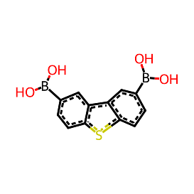 OB(O)c1ccc2sc3ccc(B(O)O)cc3c2c1